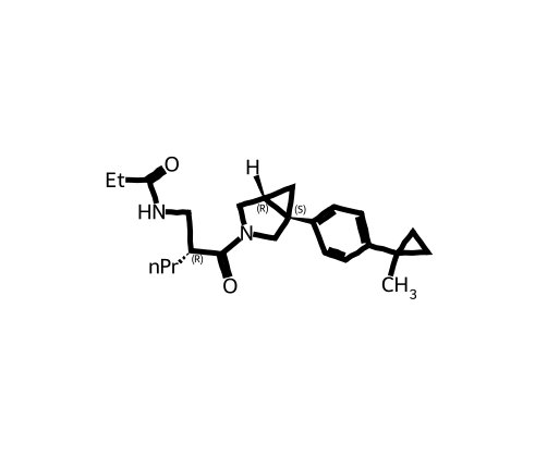 CCC[C@H](CNC(=O)CC)C(=O)N1C[C@@H]2C[C@]2(c2ccc(C3(C)CC3)cc2)C1